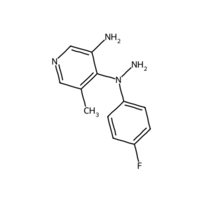 Cc1cncc(N)c1N(N)c1ccc(F)cc1